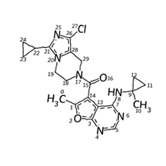 Cc1oc2ncnc(NC3(C)CC3)c2c1C(=O)N1CCn2c(C3CC3)nc(Cl)c2C1